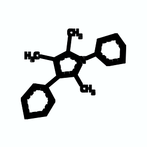 Cc1c(-c2ccccc2)c(C)n(-c2ccccc2)c1C